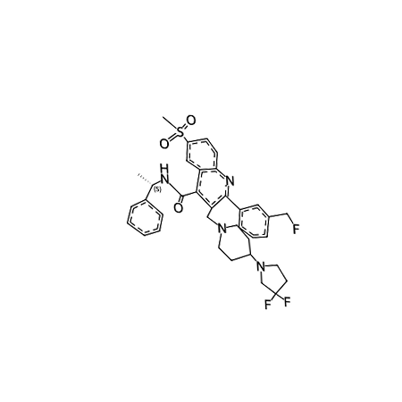 C[C@H](NC(=O)c1c(CN2CCC(N3CCC(F)(F)C3)CC2)c(-c2cccc(CF)c2)nc2ccc(S(C)(=O)=O)cc12)c1ccccc1